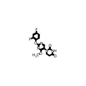 COc1nc(Oc2ccc(F)cc2F)ncc1N1CCC(=O)NC1=O